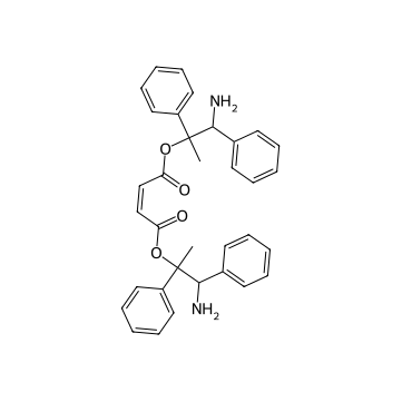 CC(OC(=O)/C=C\C(=O)OC(C)(c1ccccc1)C(N)c1ccccc1)(c1ccccc1)C(N)c1ccccc1